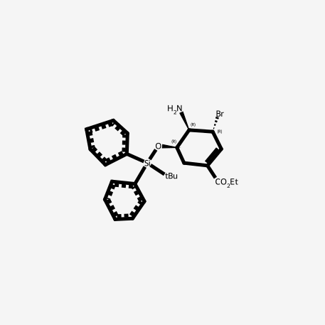 CCOC(=O)C1=C[C@@H](Br)[C@H](N)[C@H](O[Si](c2ccccc2)(c2ccccc2)C(C)(C)C)C1